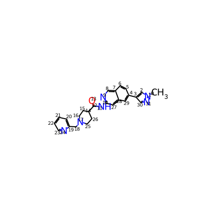 Cn1cc(-c2ccc3cnc(NC(=O)C4CCN(Cc5ccccn5)CC4)cc3c2)cn1